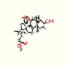 COC(=O)CC[C@@H](C)[C@H]1CC[C@H]2C3C(CC[C@]12C)[C@@]1(C)CC[C@@H](O)C[C@H]1C[C@H]3O